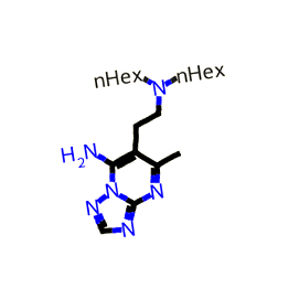 CCCCCCN(CCCCCC)CCc1c(C)nc2ncnn2c1N